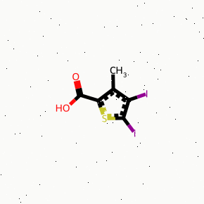 Cc1c(C(=O)O)sc(I)c1I